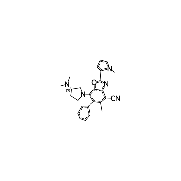 Cc1c(-c2ccccc2)c(N2CC[C@H](N(C)C)C2)c2oc(-c3cccn3C)nc2c1C#N